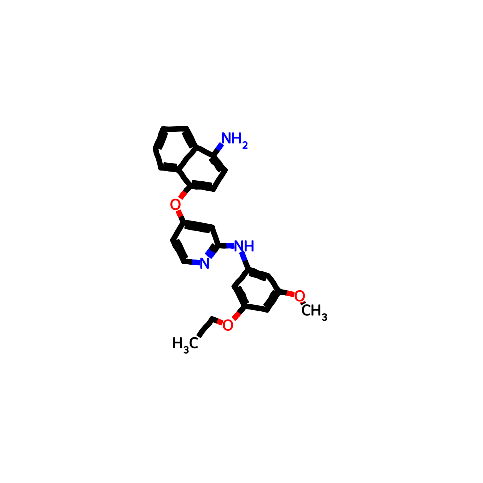 CCOc1cc(Nc2cc(Oc3ccc(N)c4ccccc34)ccn2)cc(OC)c1